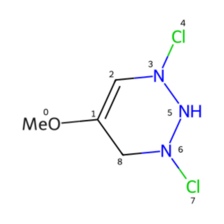 COC1=CN(Cl)NN(Cl)C1